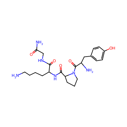 NCCCCC(NC(=O)C1CCCN1C(=O)C(N)Cc1ccc(O)cc1)C(=O)NCC(N)=O